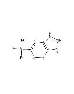 CCC(C)(CC)c1ccc2c(c1)NNN2